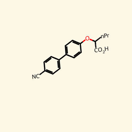 CCCC(Oc1ccc(-c2ccc(C#N)cc2)cc1)C(=O)O